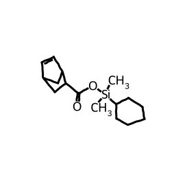 C[Si](C)(OC(=O)C1CC2C=CC1C2)C1CCCCC1